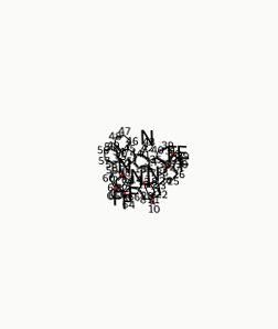 Cc1ccc2c(c1)c1cc(C)ccc1n2-c1c(-n2c3ccccc3c3ccc(C(F)(F)F)cc32)c(-c2ccccc2)c(C#N)c(-c2ccccc2)c1-n1c2ccccc2c2ccc(C(F)(F)F)cc21